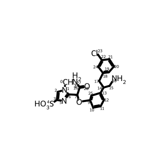 Cn1cc(S(=O)(=O)O)nc1C(Oc1cccc(C(CN)Cc2cccc(Cl)c2)c1)C(N)=O